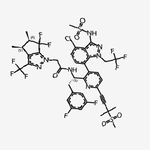 C[C@@H]1c2c(C(F)(F)F)nn(CC(=O)N[C@@H](Cc3cc(F)cc(F)c3)c3nc(C#CC(C)(C)S(C)(=O)=O)ccc3-c3ccc(Cl)c4c(NS(C)(=O)=O)nn(CC(F)(F)F)c34)c2C(F)(F)[C@@H]1C